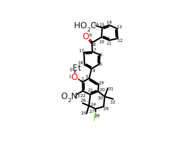 CCOc1c(-c2ccc(C(=O)c3ccccc3C(=O)O)cc2)cc2c(c1[N+](=O)[O-])C(C)(C)C(F)CC2(C)C